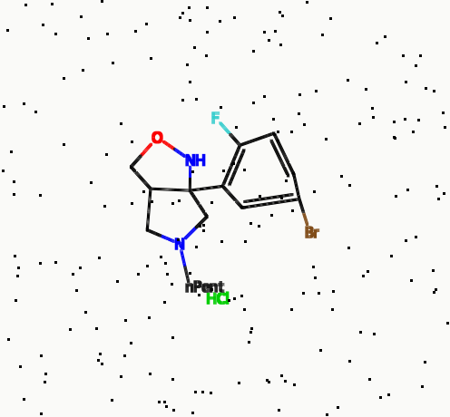 CCCCCN1CC2CONC2(c2cc(Br)ccc2F)C1.Cl